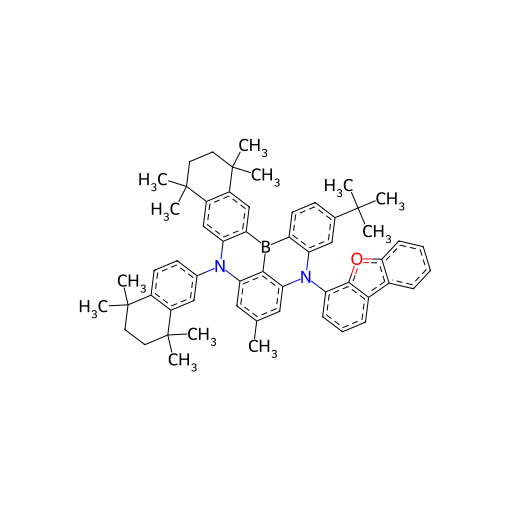 Cc1cc2c3c(c1)N(c1cccc4c1oc1ccccc14)c1cc(C(C)(C)C)ccc1B3c1cc3c(cc1N2c1ccc2c(c1)C(C)(C)CCC2(C)C)C(C)(C)CCC3(C)C